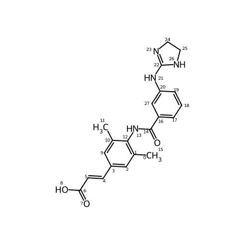 Cc1cc(C=CC(=O)O)cc(C)c1NC(=O)c1cccc(NC2=NCCN2)c1